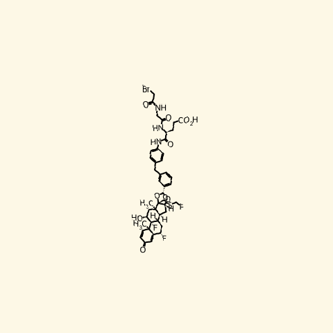 C[C@]12C=CC(=O)C=C1[C@@H](F)C[C@H]1[C@@H]3C[C@H]4O[C@@H](c5cccc(Cc6ccc(NC(=O)[C@H](CCC(=O)O)NC(=O)CNC(=O)CBr)cc6)c5)O[C@@]4(C(=O)SCF)[C@@]3(C)C[C@H](O)[C@@]12F